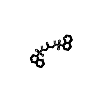 O=C(CNS(=O)(=O)c1cccc2cccnc12)CNS(=O)(=O)c1cccc2cccnc12